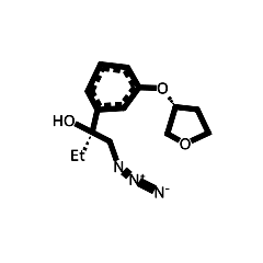 CC[C@@](O)(CN=[N+]=[N-])c1cccc(O[C@@H]2CCOC2)c1